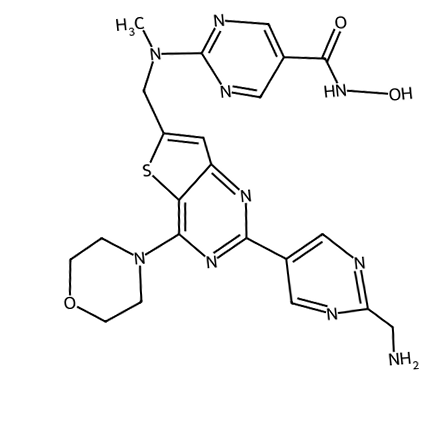 CN(Cc1cc2nc(-c3cnc(CN)nc3)nc(N3CCOCC3)c2s1)c1ncc(C(=O)NO)cn1